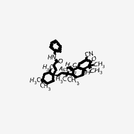 CC(=O)/C=C1/[C@@]2(C)C=C(C#N)C(=O)C(C)(C)[C@@H]2CC[C@@]1(C)C(C)(C)CC[C@@]1(CCC(=O)Nc2ccccc2)CCC(C)(C)CC1C